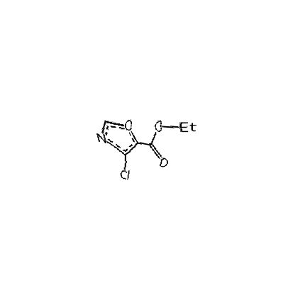 CCOC(=O)c1ocnc1Cl